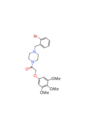 COc1cc(OCC(=O)N2CCN(Cc3ccccc3Br)CC2)cc(OC)c1OC